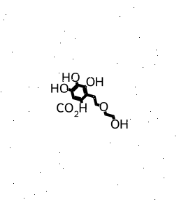 O=C(O)c1cc(O)c(O)c(O)c1CCOCCO